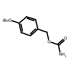 CC(C)COc1ccc(COC(N)=O)cc1